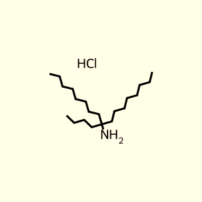 CCCCCCCCC(N)(CCCC)CCCCCCCC.Cl